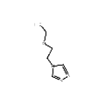 CCOCCn1cnnc1